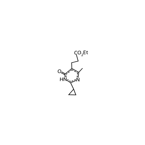 CCOC(=O)CCc1c(C)nc(C2CC2)[nH]c1=O